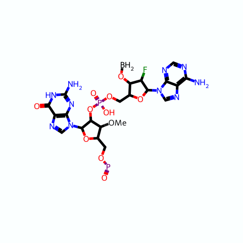 BOC1C(COP(=O)(O)OC2C(OC)C(COP=O)OC2n2cnc3c(=O)[nH]c(N)nc32)OC(n2cnc3c(N)ncnc32)C1F